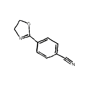 N#Cc1ccc(C2=NCCO2)cc1